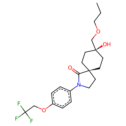 CCCOC[C@]1(O)CC[C@]2(CCN(c3ccc(OCC(F)(F)F)cc3)C2=O)CC1